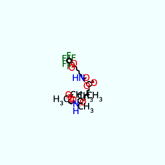 CC(=O)O[C@@H](C)/C=C\C(=O)N[C@@H]1C[C@H](C)[C@H](C/C=C(C)/C=C/[C@@H]2C[C@]3(CO3)C[C@@H](CC(=O)NCCCCCC(=O)Oc3c(F)c(F)c(F)c(F)c3F)O2)O[C@@H]1C